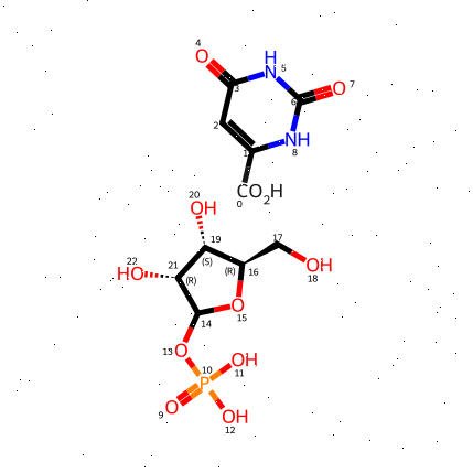 O=C(O)c1cc(=O)[nH]c(=O)[nH]1.O=P(O)(O)OC1O[C@H](CO)[C@@H](O)[C@H]1O